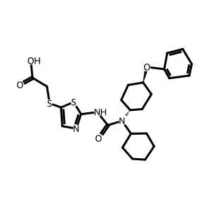 O=C(O)CSc1cnc(NC(=O)N(C2CCCCC2)[C@H]2CC[C@H](Oc3ccccc3)CC2)s1